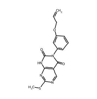 C=CCOc1cccc(-n2c(=O)[nH]c3nc(SC)ncc3c2=O)c1